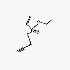 C#CCOP(=O)(C=C)OCC